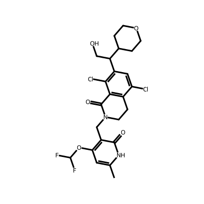 Cc1cc(OC(F)F)c(CN2CCc3c(Cl)cc(C(CO)C4CCOCC4)c(Cl)c3C2=O)c(=O)[nH]1